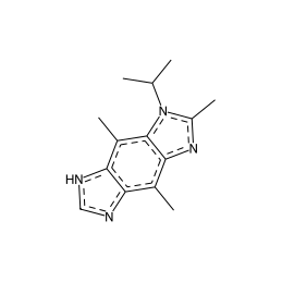 Cc1c2nc[nH]c2c(C)c2c1nc(C)n2C(C)C